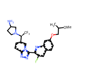 COC(C)COc1ccc2cc(F)c(-c3nnc4ccc([C@@H](N5CCC(N)C5)C(F)(F)F)cn34)nc2c1